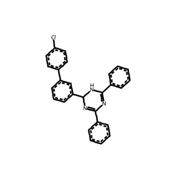 Clc1ccc(-c2cccc(C3N=C(c4ccccc4)N=C(c4ccccc4)N3)c2)cc1